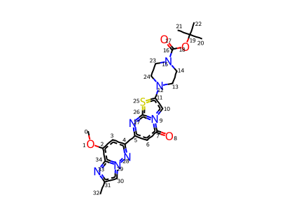 COc1cc(-c2cc(=O)n3cc(N4CCN(C(=O)OC(C)(C)C)CC4)sc3n2)nn2cc(C)nc12